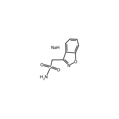 NS(=O)(=O)Cc1noc2ccccc12.[NaH]